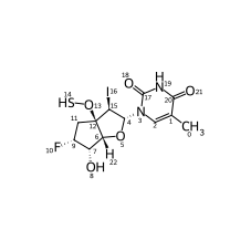 Cc1cn([C@@H]2O[C@@H]3[C@H](O)[C@H](F)C[C@]3(OS)[C@H]2I)c(=O)[nH]c1=O